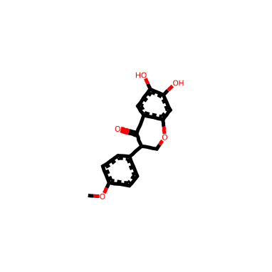 COc1ccc(C2COc3cc(O)c(O)cc3C2=O)cc1